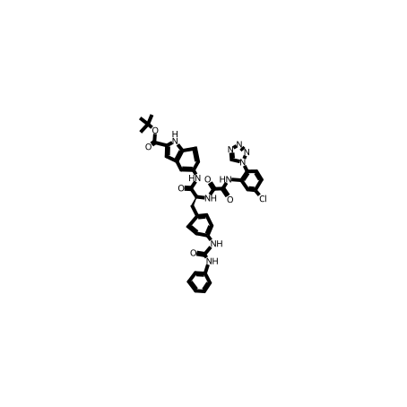 CC(C)(C)OC(=O)c1cc2cc(NC(=O)[C@H](Cc3ccc(NC(=O)Nc4ccccc4)cc3)NC(=O)C(=O)Nc3cc(Cl)ccc3-n3cnnn3)ccc2[nH]1